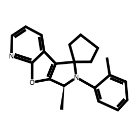 Cc1ccccc1N1[C@@H](C)c2oc3ncccc3c2C12CCCC2